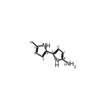 Cc1ccc(-c2ccc(N)[nH]2)[nH]1